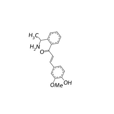 COc1cc(C=CC(=O)c2ccccc2C(C)N)ccc1O